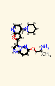 C[C@H](N)COc1ccc2ncc(-c3cc4c(N5CCCCC5)ccnc4o3)n2n1